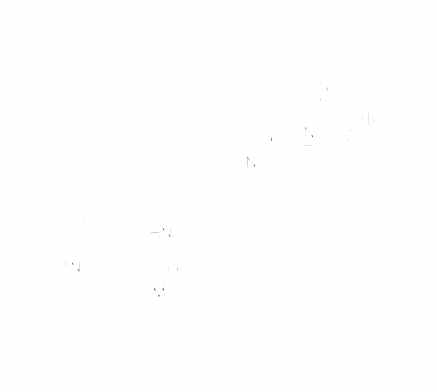 COc1cc(N)c(Cl)cc1C(=O)NCCCCCN1CC[C@H](CNC(=O)OC(C)(C)C)C1